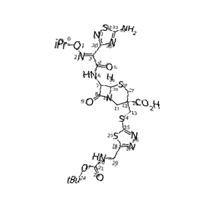 CC(C)ON=C(C(=O)NC1C(=O)N2CC(CSc3nnc(CNC(=O)OC(C)(C)C)s3)(C(=O)O)CS[C@H]12)c1nsc(N)n1